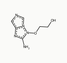 Nc1nc2cncn2n1OCCO